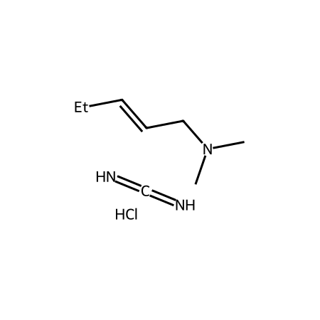 CCC=CCN(C)C.Cl.N=C=N